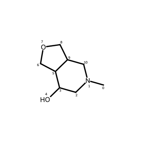 CN1CC(O)C2COCC2C1